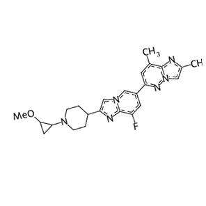 COC1CC1N1CCC(c2cn3cc(-c4cc(C)c5nc(C)cn5n4)cc(F)c3n2)CC1